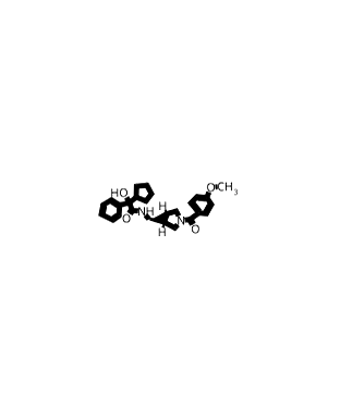 COc1ccc(C(=O)N2C[C@@H]3[C@@H](CNC(=O)C(O)(c4ccccc4)C4CCCC4)[C@@H]3C2)cc1